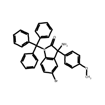 COc1ccc(C2(N)C(=O)N(C(c3ccccc3)(c3ccccc3)c3ccccc3)c3ccc(Br)cc32)cc1